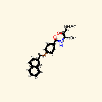 CCCCC(NC(=O)c1ccc(SCc2ccc3ccccc3c2)cc1)C(=O)CNC(C)=O